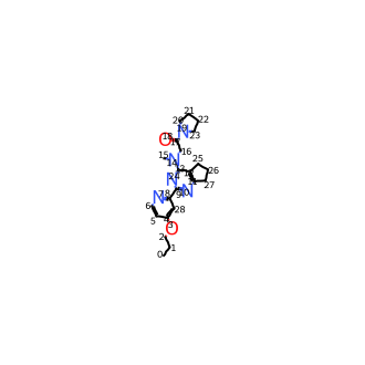 CCCOc1ccnc(-c2nc3c(c(N(C)CC(=O)N4CCCC4)n2)CCC3)c1